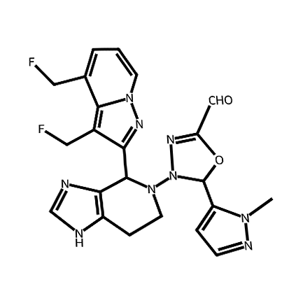 Cn1nccc1C1OC(C=O)=NN1N1CCc2[nH]cnc2C1c1nn2cccc(CF)c2c1CF